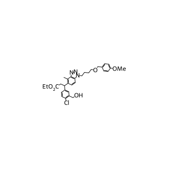 CCOC(=O)CC(c1ccc(Cl)c(CO)c1)c1ccc2c(nnn2CCCCOCc2ccc(OC)cc2)c1C